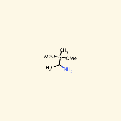 CO[Si](C)(OC)C(C)N